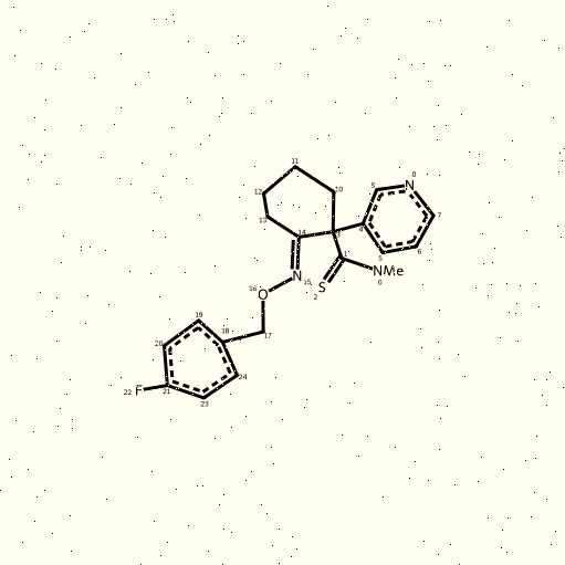 CNC(=S)C1(c2cccnc2)CCCCC1=NOCc1ccc(F)cc1